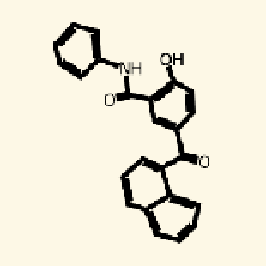 O=C(Nc1ccccc1)c1cc(C(=O)c2cccc3ccccc23)ccc1O